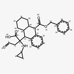 O=CCC(NC1CC1)(C(=O)O)C1c2ccccc2N(C(=O)OCc2ccccc2)C2CCCCC21